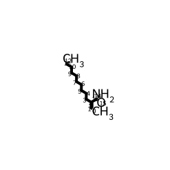 CC=C(CCCCCCCCCC)C(N)=O